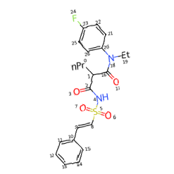 CCCC(C(=O)NS(=O)(=O)C=Cc1ccccc1)C(=O)N(CC)c1ccc(F)cc1